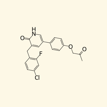 CC(=O)COc1ccc(-c2c[nH]c(=O)c(Cc3ccc(Cl)cc3F)c2)cc1